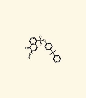 CC(C)(c1ccccc1)c1ccc(OS(=O)(=O)c2cccc3c2C=CC(=[N+]=[N-])C3=O)cc1